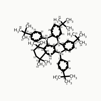 CC(C)(C)c1ccc(N2c3ccc(C(C)(C)C)cc3B3c4cc(C(C)(C)C)ccc4N(c4ccc(C(C)(C)C)cc4)c4c3c2nc2c4C(C)(C)CCC2(C)C)cc1